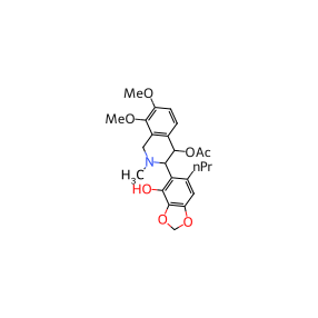 CCCc1cc2c(c(O)c1C1C(OC(C)=O)c3ccc(OC)c(OC)c3CN1C)OCO2